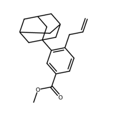 C=CCc1ccc(C(=O)OC)cc1C12CC3CC(CC(C3)C1)C2